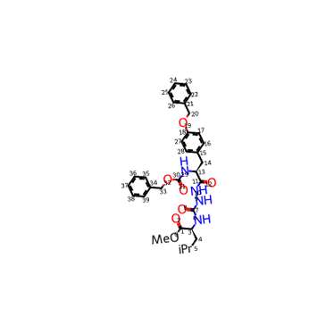 COC(=O)[C@H](CC(C)C)NC(=O)NNC(=O)[C@H](Cc1ccc(OCc2ccccc2)cc1)NC(=O)OCc1ccccc1